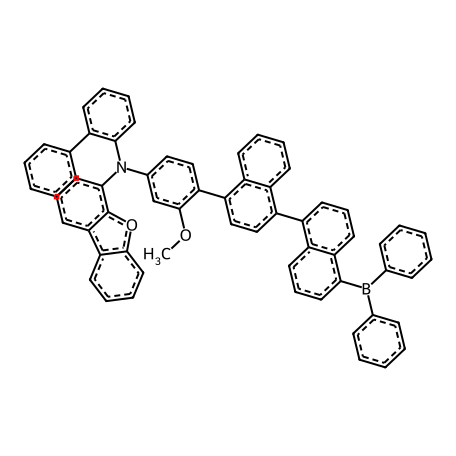 COc1cc(N(c2ccccc2-c2ccccc2)c2cccc3c2oc2ccccc23)ccc1-c1ccc(-c2cccc3c(B(c4ccccc4)c4ccccc4)cccc23)c2ccccc12